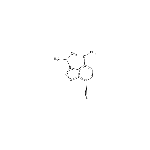 COc1ccc(C#N)c2ccn(C(C)C)c12